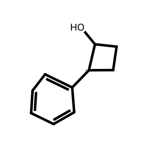 OC1CC[C]1c1ccccc1